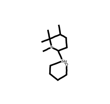 CC1CCC([SiH]2CCCCO2)N(C)C1(C)C